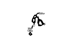 CNCC1Cc2ccc(OCCNS(=O)(=O)C3CCC3)cc2C1Cc1cccc(F)c1